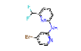 FC(F)c1cccc(Nc2cc(Br)ccn2)n1